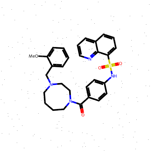 COc1ccccc1CN1CCCCN(C(=O)c2ccc(NS(=O)(=O)c3cccc4cccnc34)cc2)CC1